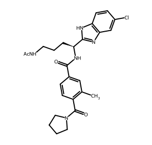 CC(=O)NCCC[C@H](NC(=O)c1ccc(C(=O)N2CCCC2)c(C)c1)c1nc2cc(Cl)ccc2[nH]1